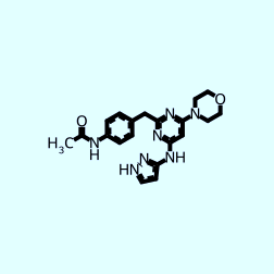 CC(=O)Nc1ccc(Cc2nc(Nc3cc[nH]n3)cc(N3CCOCC3)n2)cc1